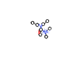 c1ccc(C2=NC(c3cc(N(c4ccc(-c5ccccc5)cc4)c4ccc(-c5ccccc5)cc4)cc4oc5ccccc5c34)=NC(c3ccccc3)N2)cc1